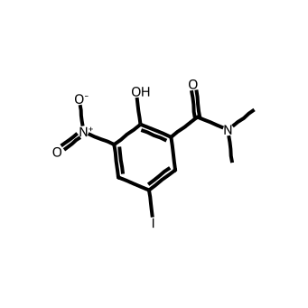 CN(C)C(=O)c1cc(I)cc([N+](=O)[O-])c1O